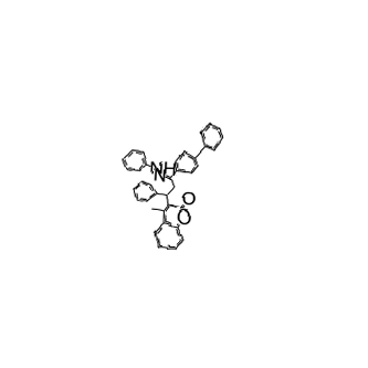 Cc1c(C(C/C(=N/Nc2ccccc2)c2ccc(-c3ccccc3)cc2)c2ccccc2)c(=O)oc2ccccc12